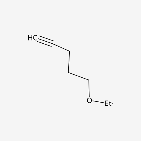 C#CCCCO[CH]C